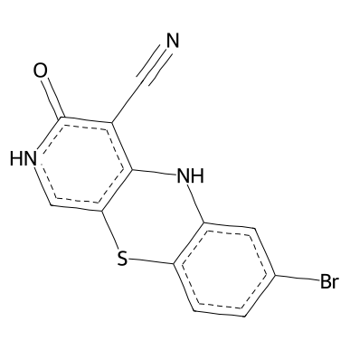 N#Cc1c2c(c[nH]c1=O)Sc1ccc(Br)cc1N2